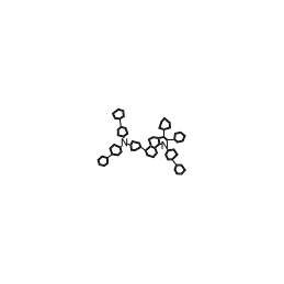 c1ccc(-c2ccc(N(c3ccc(-c4ccccc4)cc3)c3ccc(-c4cccc5c4ccc4c(-c6ccccc6)c(-c6ccccc6)n(-c6ccc(-c7ccccc7)cc6)c45)cc3)cc2)cc1